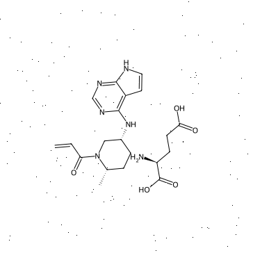 C=CC(=O)N1C[C@H](Nc2ncnc3[nH]ccc23)CC[C@@H]1C.N[C@@H](CCC(=O)O)C(=O)O